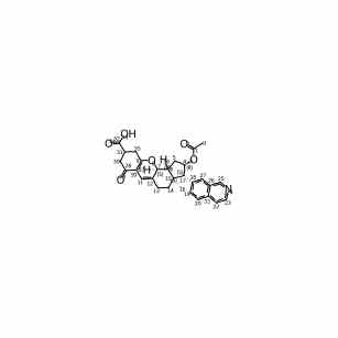 CC(=O)O[C@@H]1C[C@H]2[C@@H]3OC4=C(C=C3CC[C@]2(C)[C@H]1c1ccc2ccncc2c1)C(=O)CC(C(=O)O)C4